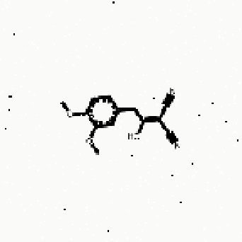 COc1ccc(CC(O)=C(C#N)C#N)cc1OC